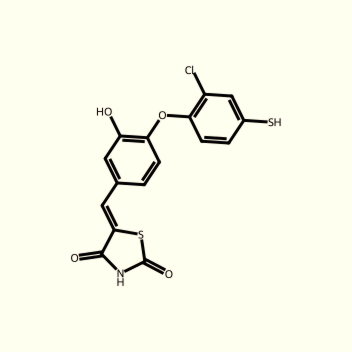 O=C1NC(=O)/C(=C/c2ccc(Oc3ccc(S)cc3Cl)c(O)c2)S1